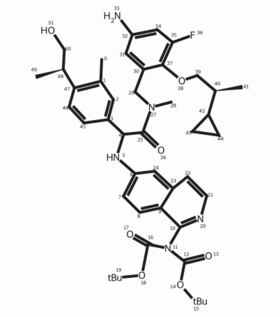 Cc1cc(C(Nc2ccc3c(N(C(=O)OC(C)(C)C)C(=O)OC(C)(C)C)nccc3c2)C(=O)N(C)Cc2cc(N)cc(F)c2OC[C@@H](C)C2CC2)ccc1[C@@H](C)CO